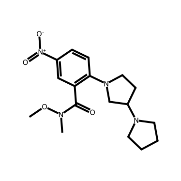 CON(C)C(=O)c1cc([N+](=O)[O-])ccc1N1CCC(N2CCCC2)C1